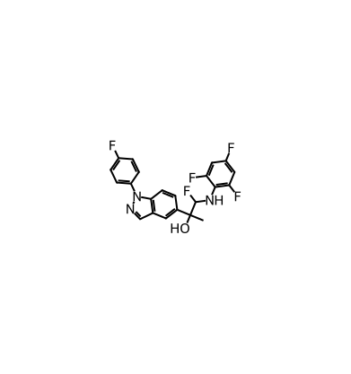 CC(O)(c1ccc2c(cnn2-c2ccc(F)cc2)c1)C(F)Nc1c(F)cc(F)cc1F